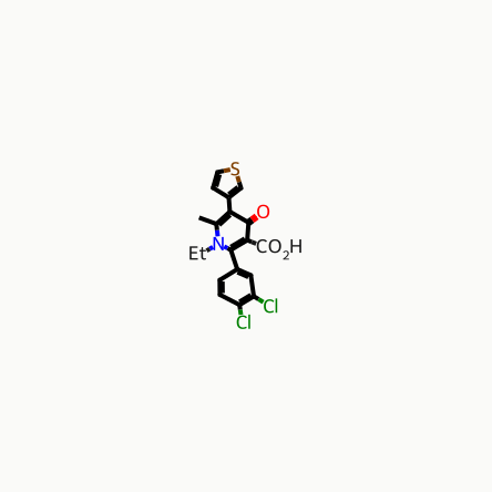 CCn1c(C)c(-c2ccsc2)c(=O)c(C(=O)O)c1-c1ccc(Cl)c(Cl)c1